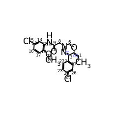 C/C=C\C(=N/N(C=O)CC(=O)Nc1cc(Cl)ccc1OC)c1ccc(Cl)cc1